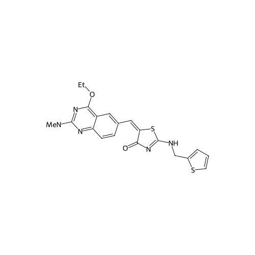 CCOc1nc(NC)nc2ccc(/C=C3/SC(NCc4cccs4)=NC3=O)cc12